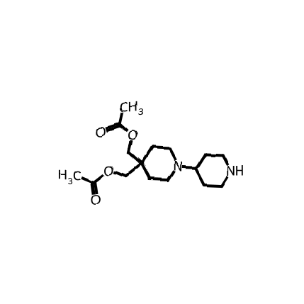 CC(=O)OCC1(COC(C)=O)CCN(C2CCNCC2)CC1